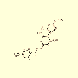 CCCCOc1ccc(C2=C(O)CC(CCSc3ccc(C(F)(F)F)cn3)CC2=O)c(CC)c1